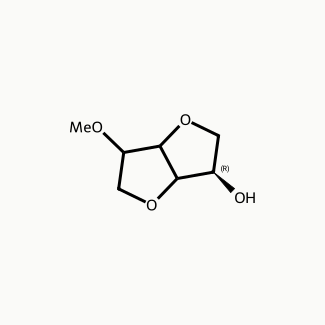 COC1COC2C1OC[C@H]2O